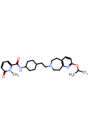 CC(Oc1ccc2c(n1)CCN(CCC1CCC(NC(=O)c3cccc(=O)n3C)CC1)CC2)C(F)(F)F